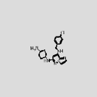 N[C@H]1CC[C@H](Nc2cc(NCc3ccc(Cl)cc3)c3nccn3n2)CC1